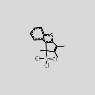 CC1=C(C)[C](C)([Ti]([Cl])([Cl])[Cl])c2c1sc1ccccc21